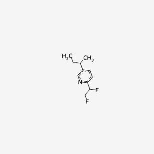 CCC(C)c1ccc(C(F)CF)nc1